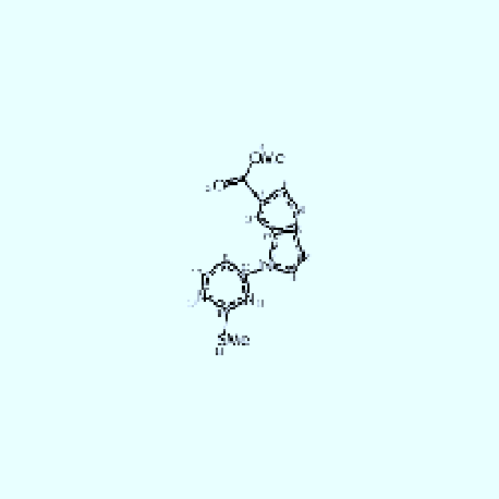 COC(=O)c1ccc2ccn(-c3ccnc(SC)n3)c2c1